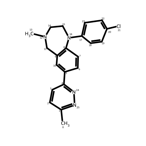 Cc1ccc(-c2ccc3c(c2)CN(C)CCN3c2ccc(Cl)cc2)nn1